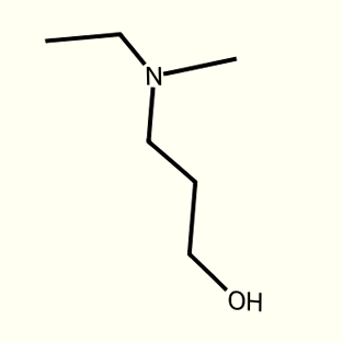 CCN(C)CCCO